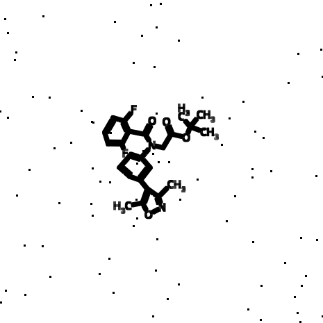 Cc1noc(C)c1-c1cccc(N(CC(=O)OC(C)(C)C)C(=O)c2c(F)cccc2F)c1